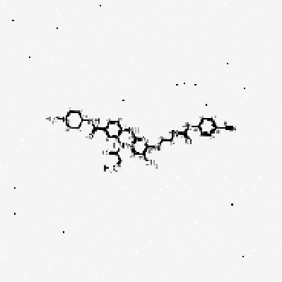 C=CC(=O)Nc1cc(C(=O)NC2CCN(C)CC2)ccc1Nc1ncc(C)c(NCCNC(=O)Nc2ccc(C#N)cc2)n1